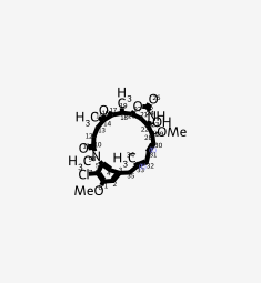 COc1cc2cc(c1Cl)N(C)C(=O)CCC1(C)OC1C(C)C1C[C@@](O)(NC(=O)O1)[C@H](OC)/C=C/C=C(\C)C2